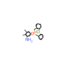 Cc1cccc(N)c1C.O=P(Cl)(Cc1ccccc1)Cc1ccccc1